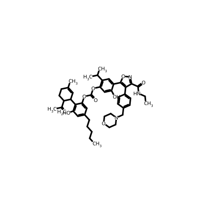 C=C(C)C1CCC(C)=CC1c1c(O)cc(CCCCC)cc1OC(=O)Oc1cc(O)c(-c2onc(C(=O)NCC)c2-c2ccc(CN3CCOCC3)cc2)cc1C(C)C